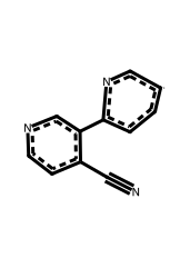 N#Cc1ccncc1-c1cc[c]cn1